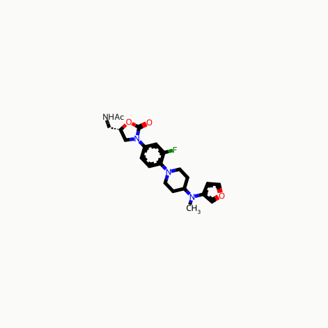 CC(=O)NC[C@H]1CN(c2ccc(N3CCC(N(C)c4ccoc4)CC3)c(F)c2)C(=O)O1